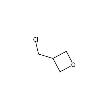 ClCC1COC1